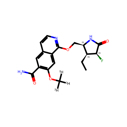 [2H]C([2H])([2H])Oc1cc2c(OC[C@H]3NC(=O)[C@@H](F)[C@H]3CC)nccc2cc1C(N)=O